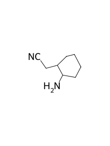 N#CCC1CCCCC1N